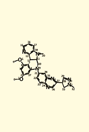 COc1cc(OC)cc(N(CC2Cc3ncccc3N2C)c2ccc3ncc(C4C=NN(C)C4)nc3c2)c1